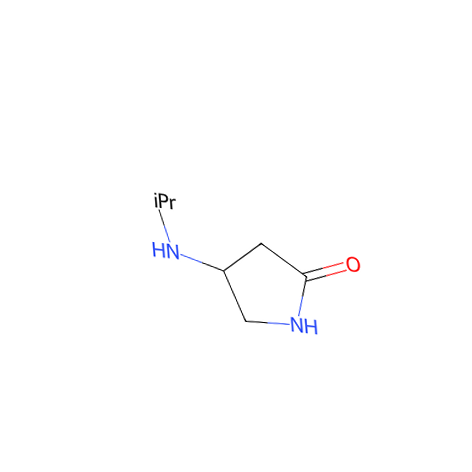 CC(C)NC1CNC(=O)C1